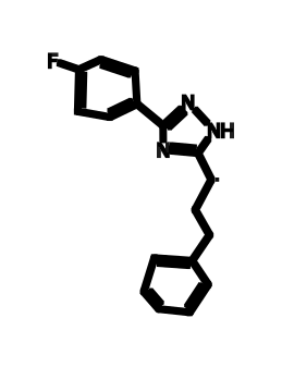 Fc1ccc(-c2n[nH]c([CH]CCc3ccccc3)n2)cc1